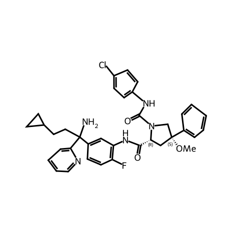 CO[C@]1(c2ccccc2)C[C@H](C(=O)Nc2cc(C(N)(CCC3CC3)c3ccccn3)ccc2F)N(C(=O)Nc2ccc(Cl)cc2)C1